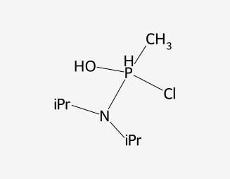 CC(C)N(C(C)C)[PH](C)(O)Cl